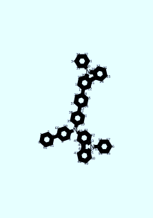 c1ccc(-c2ccc(N(c3ccc(-c4ccc(-c5ccc6c(c5)c5ccccc5n6-c5ccccc5)cc4)cc3)c3ccc4c(c3)c3ccccc3n4-c3ccccc3)cc2)cc1